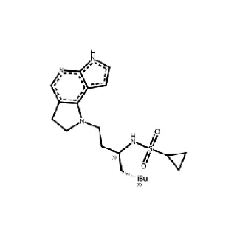 CC[C@@H](C)C[C@@H](CCN1CCc2cnc3[nH]ccc3c21)NS(=O)(=O)C1CC1